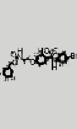 O=C(NCCOc1ccc(C(=O)Nc2ccc(Br)cc2C(=O)O)cc1)OCc1ccccc1